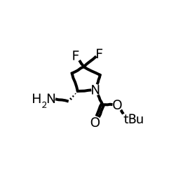 CC(C)(C)OC(=O)N1CC(F)(F)C[C@H]1CN